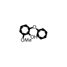 COc1cccc(Oc2ccccc2)c1O